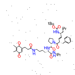 CC1=C(C)C(=O)C(CCC(=O)NCCCC[C@H](NC(=O)[C@@H]2CCCN2C(=O)[C@H](/C=C/[C@H](CC(C)C)NC(=O)OC(C)(C)C)Cc2ccccc2)C(=O)NC(C)C)=CC1=O